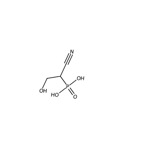 N#CC(CO)P(=O)(O)O